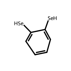 [SeH]c1ccccc1[SeH]